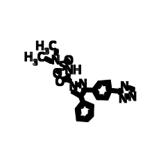 CCN(CC)S(=O)(=O)NC(=O)N1CC(c2ccccc2)C(c2ccc(C3=NCN=N3)cc2)=N1